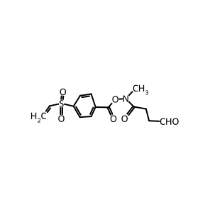 C=CS(=O)(=O)c1ccc(C(=O)ON(C)C(=O)CCC=O)cc1